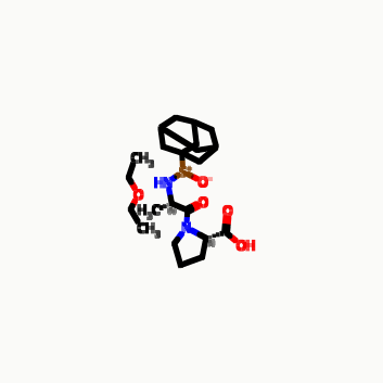 CCOCC.C[C@H](N[S+]([O-])C12CC3CC(CC(C3)C1)C2)C(=O)N1CCC[C@H]1C(=O)O